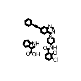 O=C(NC1CCN(c2ncnc3cc(C#Cc4ccccc4)ccc23)CC1)c1cccc(Cl)c1Cl.O=C(O)c1c[nH]c2ccccc12